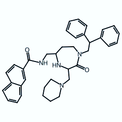 O=C(NCC1CCN(CC(c2ccccc2)c2ccccc2)C(=O)C(CN2CCCCC2)N1)c1ccc2ccccc2c1